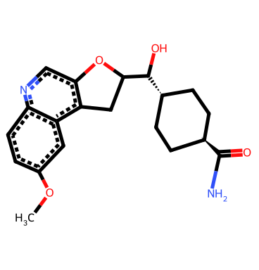 COc1ccc2ncc3c(c2c1)CC(C(O)[C@H]1CC[C@H](C(N)=O)CC1)O3